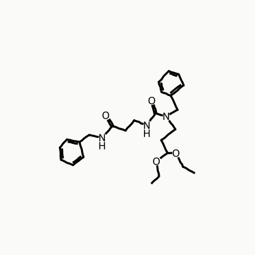 CCOC(CCN(Cc1ccccc1)C(=O)NCCC(=O)NCc1ccccc1)OCC